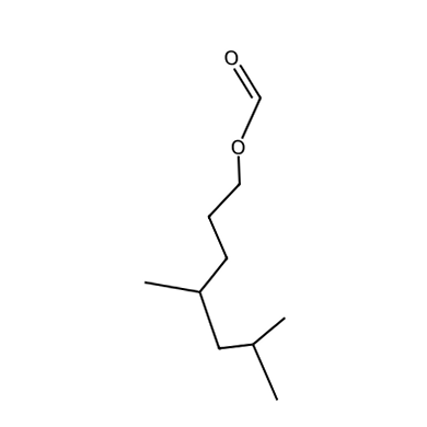 CC(C)CC(C)CCCOC=O